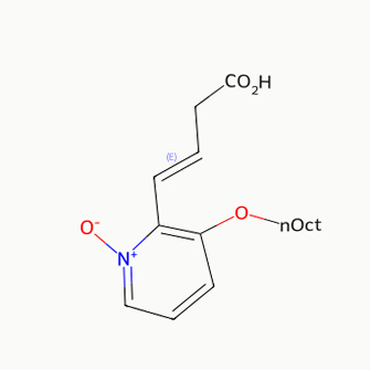 CCCCCCCCOc1ccc[n+]([O-])c1/C=C/CC(=O)O